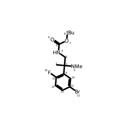 CNC(C)(CNC(=O)OC(C)(C)C)c1cc(Br)ccc1F